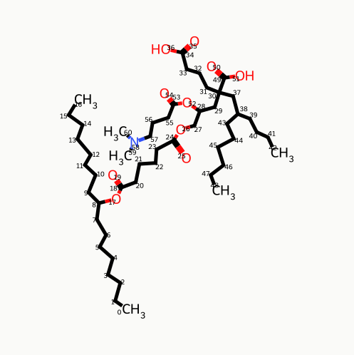 CCCCCCCCC(CCCCCCCC)OC(=O)CCCCC(=O)OCC(CC(CCCC(=O)O)(CC(CCCC)CCCCCC)C(=O)O)OC(=O)CCCN(C)C